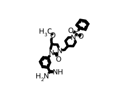 COCC1CN(CC2CCN(S(=O)(=O)c3ccccc3)CC2)C(=O)N(c2cccc(C(=N)N)c2)C1